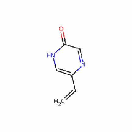 C=Cc1c[nH]c(=O)cn1